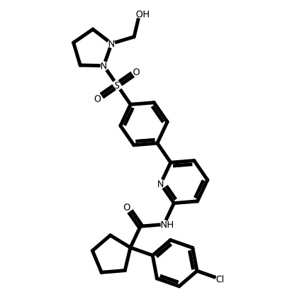 O=C(Nc1cccc(-c2ccc(S(=O)(=O)N3CCCN3CO)cc2)n1)C1(c2ccc(Cl)cc2)CCCC1